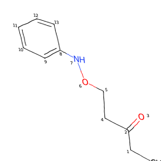 O=CCC(=O)CCONc1ccccc1